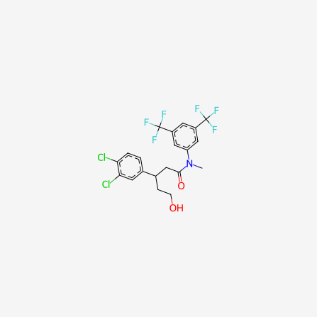 CN(C(=O)CC(CCO)c1ccc(Cl)c(Cl)c1)c1cc(C(F)(F)F)cc(C(F)(F)F)c1